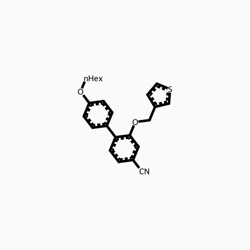 CCCCCCOc1ccc(-c2ccc(C#N)cc2OCc2ccsc2)cc1